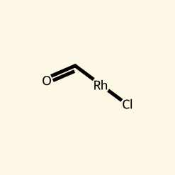 O=[CH][Rh][Cl]